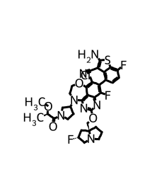 CO[C@H](C)C(=O)N1CCC(N2CCOc3c(Cl)c(-c4ccc(F)c5sc(N)c(C#N)c45)c(F)c4nc(OC[C@@]56CCCN5C[C@H](F)C6)nc2c34)C1